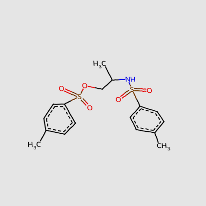 Cc1ccc(S(=O)(=O)NC(C)COS(=O)(=O)c2ccc(C)cc2)cc1